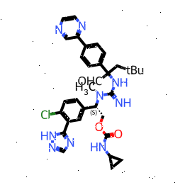 CN(C(=N)NC(C=O)(CC(C)(C)C)c1ccc(-c2cnccn2)cc1)[C@H](COC(=O)NC1CC1)c1ccc(Cl)c(-c2ncn[nH]2)c1